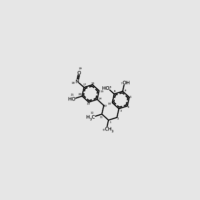 CC(Cc1ccc(O)c(O)c1)C(C)Cc1ccc(N=O)c(O)c1